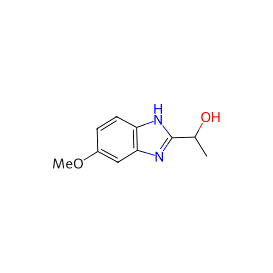 COc1ccc2[nH]c(C(C)O)nc2c1